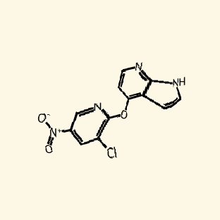 O=[N+]([O-])c1cnc(Oc2ccnc3[nH]ccc23)c(Cl)c1